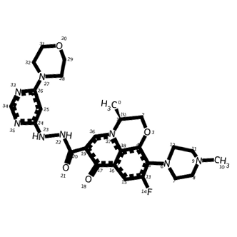 C[C@H]1COc2c(N3CCN(C)CC3)c(F)cc3c(=O)c(C(=O)NNc4cc(N5CCOCC5)ncn4)cn1c23